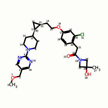 COCc1cnc(N2CCC([C@H]3C[C@H]3CCOc3ccc(CC(=O)N4CC(C)(O)C4)c(Cl)c3)CC2)nc1